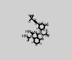 CC(=N)n1c(=N)nc(N(CC(F)F)c2cc(F)cc(C#CC3(C)CC3)c2)c2c(F)cccc21